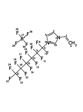 C=Cn1cc[n+](C(F)(F)C(F)(F)C(F)(F)C(F)(F)C(F)(F)C(F)(F)F)c1.F[B-](F)(F)F